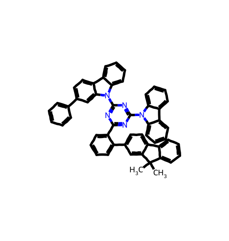 CC1(C)c2ccccc2-c2ccc(-c3ccccc3-c3nc(-n4c5ccccc5c5ccccc54)nc(-n4c5ccccc5c5ccc(-c6ccccc6)cc54)n3)cc21